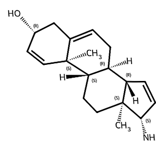 C[C@]12CC[C@H]3[C@@H](CC=C4C[C@@H](O)C=C[C@@]43C)[C@@H]1C=C[C@@H]2N